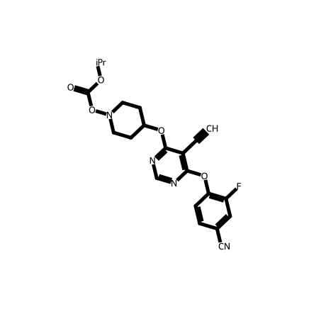 C#Cc1c(Oc2ccc(C#N)cc2F)ncnc1OC1CCN(OC(=O)OC(C)C)CC1